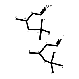 CC(CC=O)CC(C)(C)C.CC(CC=O)CC(C)(C)C